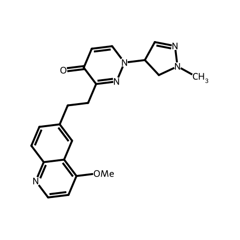 COc1ccnc2ccc(CCc3nn(C4C=NN(C)C4)ccc3=O)cc12